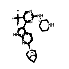 FC(F)(F)c1cnc(N[C@H]2CCCNC2)nc1-c1c[nH]c2nc(N3CC4CC(C3)O4)ccc12